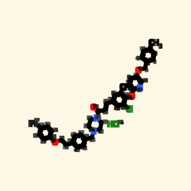 Cc1ccc(COc2ccc(Oc3c(C)cc(/C=C/C(=O)N4CCN(Cc5ccc(CCOc6ccc(C(C)C)cc6)cc5)CC4)cc3Cl)nc2)cc1.Cl